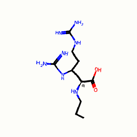 CCCN[C@H](C(=O)O)C(CCNC(=N)N)NC(=N)N